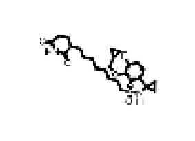 O=C1CCC(CCCCCCCCS(=O)(=O)NC2(c3ccc(F)c(OCC4CC4)c3)CC2)C(=O)N1